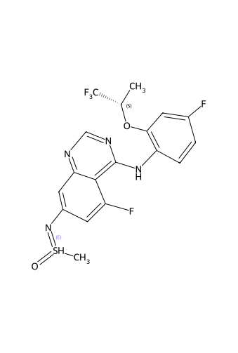 C[C@H](Oc1cc(F)ccc1Nc1ncnc2cc(/N=[SH](\C)=O)cc(F)c12)C(F)(F)F